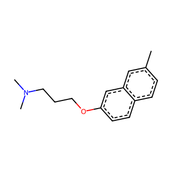 Cc1ccc2ccc(OCCCN(C)C)cc2c1